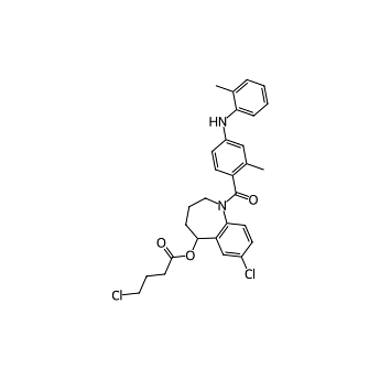 Cc1ccccc1Nc1ccc(C(=O)N2CCCC(OC(=O)CCCCl)c3cc(Cl)ccc32)c(C)c1